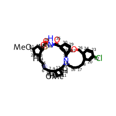 CO[C@H]1C[C@@H]2C/C=C/[C@H](OC)[C@@H]3CC[C@H]3CN3CCCCc4cc(Cl)ccc4COc4ccc(cc43)C(=O)NS(=O)(=O)[C@H]2C1